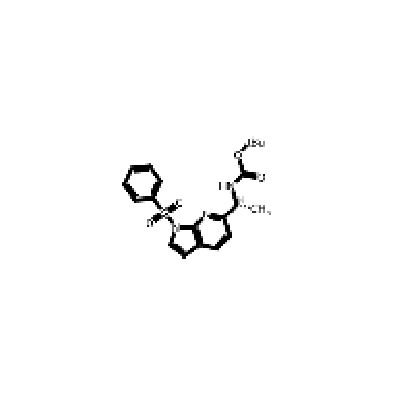 C[C@@H](NC(=O)OC(C)(C)C)c1ccc2ccn(S(=O)(=O)c3ccccc3)c2n1